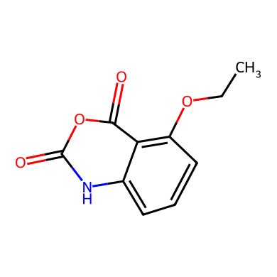 CCOc1cccc2[nH]c(=O)oc(=O)c12